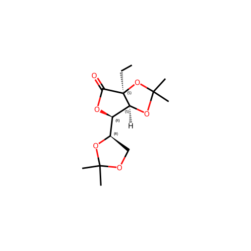 CC[C@]12OC(C)(C)O[C@H]1[C@@H]([C@H]1COC(C)(C)O1)OC2=O